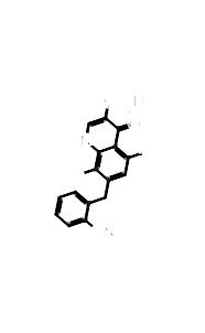 N#Cc1ccccc1Cc1cc(F)c2c(=O)c(C(=O)O)c[nH]c2c1F